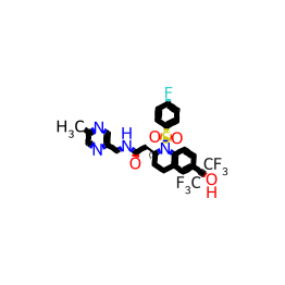 Cc1cnc(CNC(=O)C[C@@H]2CCc3cc(C(O)(C(F)(F)F)C(F)(F)F)ccc3N2S(=O)(=O)c2ccc(F)cc2)cn1